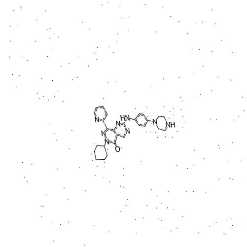 O=c1c2cnc(Nc3ccc(N4CCNCC4)cc3)nc2c(-c2ccccn2)nn1C1CCCCC1